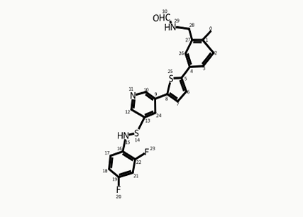 Cc1ccc(-c2ccc(-c3cncc(SNc4ccc(F)cc4F)c3)s2)cc1CNC=O